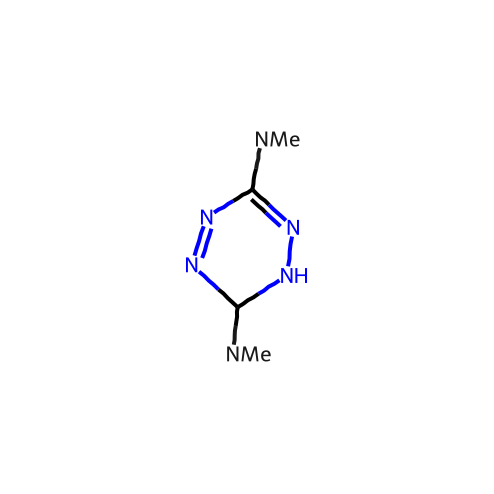 CNC1=NNC(NC)N=N1